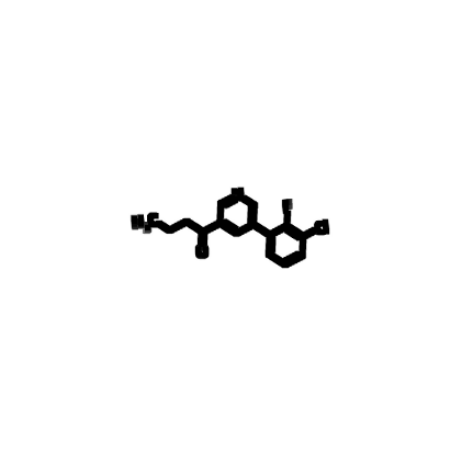 CCCC(=O)c1cncc(-c2cccc(Cl)c2F)c1